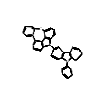 C1=Cc2c(n(-c3ccccc3)c3ccc(-n4c5cccc6oc7ccccc7c7cccc4c7c65)cc23)CC1